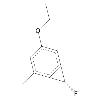 CCOc1cc(C)c2c(c1)[C@@H]2F